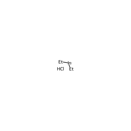 C[CH2][In][CH2]C.Cl